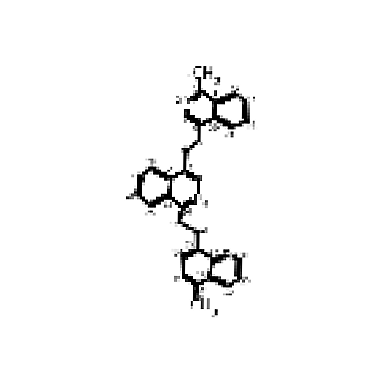 Cc1pcc(CCc2cpc(CCc3ccc(C)c4cccpc34)c3ccccc23)c2ccccc12